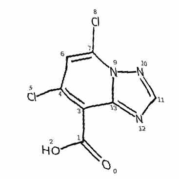 O=C(O)c1c(Cl)cc(Cl)n2ncnc12